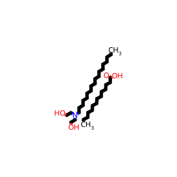 CCCCCCCCCCCCCC(=O)O.CCCCCCCCCCCCCCCCCCN(CCO)CCO